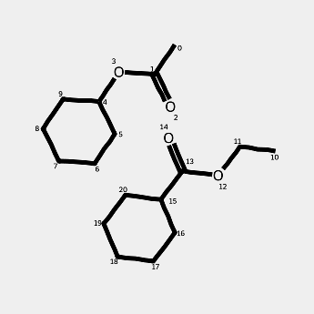 CC(=O)OC1CCCCC1.CCOC(=O)C1CCCCC1